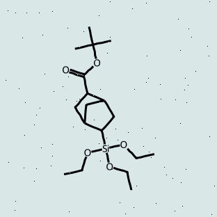 CCO[Si](OCC)(OCC)C1CC2CC1CC2C(=O)OC(C)(C)C